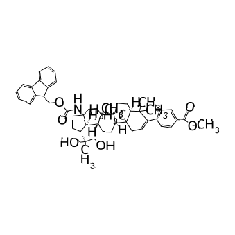 COC(=O)c1ccc(C2=CC[C@]3(C)[C@H]4CC[C@@H]5[C@H]6[C@H](C(C)(O)CO)CC[C@]6(NC(=O)OCC6c7ccccc7-c7ccccc76)CC[C@@]5(C)[C@]4(C)CC[C@H]3C2(C)C)cc1